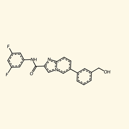 O=C(Nc1cc(F)cc(F)c1)c1cn2cc(-c3cccc(CO)c3)ccc2n1